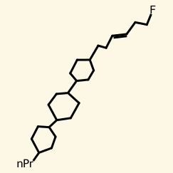 CCCC1CCC(C2CCC(C3CCC(CC/C=C/CCF)CC3)CC2)CC1